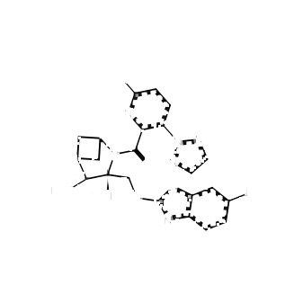 Cc1ccc(-n2nccn2)c(C(=O)N2C3CC(C3)[C@H](C)[C@H]2COc2nc3ccc(F)cc3s2)n1